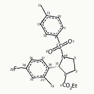 CCOC(=O)C1CCN(S(=O)(=O)c2ccc(C)cc2)[C@H]1c1ccc(F)cc1C